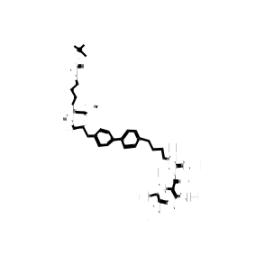 COC(=O)[C@H](CCCCNC(=O)OC(C)(C)C)N(C)C(=O)CCc1ccc(-c2ccc(CCCCNC(=N)NC(=O)c3nc(Cl)c(N)nc3N)cc2)cc1